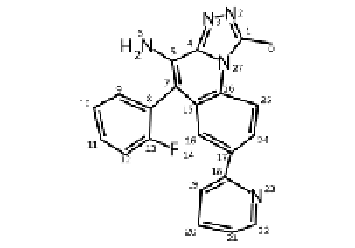 Cc1nnc2c(N)c(-c3ccccc3F)c3cc(-c4ccccn4)ccc3n12